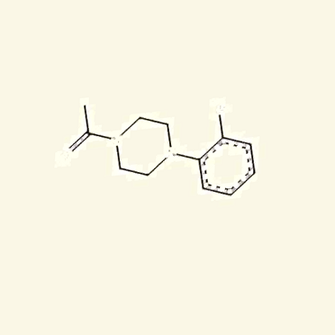 CC(=O)N1CCN(c2ccccc2Br)CC1